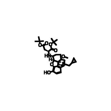 CO[C@@]12CCC(N[C@@H](CC(=O)OC(C)(C)C)C(=O)OC(C)(C)C)[C@@H]3Oc4c(O)ccc5c4[C@@]31CCN(CC1CC1)C2C5